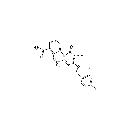 Cc1c(C(N)=O)cccc1-n1c(C)nc(OCc2ccc(F)cc2F)c(Cl)c1=O